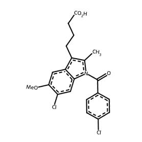 COc1cc2c(CCCC(=O)O)c(C)n(C(=O)c3ccc(Cl)cc3)c2cc1Cl